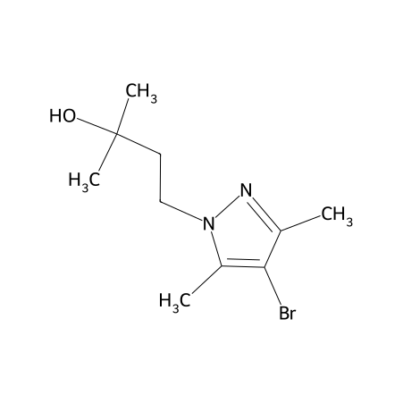 Cc1nn(CCC(C)(C)O)c(C)c1Br